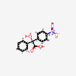 O=C(O)[C@](O)(c1ccccc1)c1ccc([N+](=O)[O-])cc1